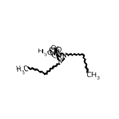 CCCCCCCC/C=C\CCCCCCCCN1CCN(CCCCCCCC/C=C\CCCCCCCC)CCN(C(C(=O)[O-])[N+](C)(C)C)CC1